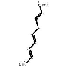 CCCCCC=CCC=CC=CC=O